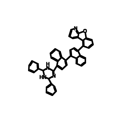 c1ccc(C2N=C(c3ccc(-c4ccc(-c5cccc6oc7ncccc7c56)c5ccccc45)c4ccccc34)NC(c3ccccc3)N2)cc1